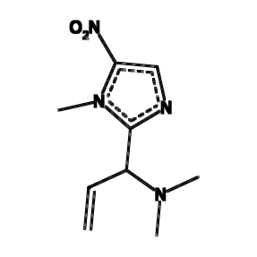 C=CC(c1ncc([N+](=O)[O-])n1C)N(C)C